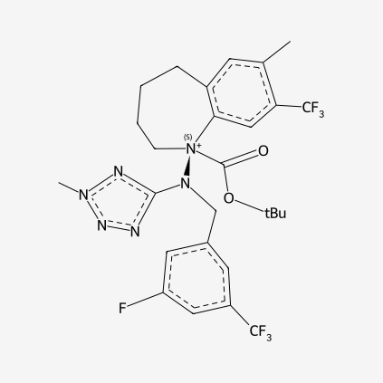 Cc1cc2c(cc1C(F)(F)F)[N@@+](C(=O)OC(C)(C)C)(N(Cc1cc(F)cc(C(F)(F)F)c1)c1nnn(C)n1)CCCC2